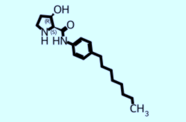 CCCCCCCCc1ccc(NC(=O)[C@H]2NCC[C@H]2O)cc1